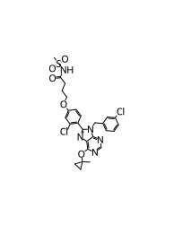 CC1(Oc2ncnc3c2nc(-c2ccc(OCCCC(=O)NS(C)(=O)=O)cc2Cl)n3Cc2cccc(Cl)c2)CC1